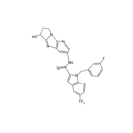 O=C(Nc1cnc2c(c1)nc1n2CCC1O)c1cc2cc(C(F)(F)F)ccc2n1Cc1cccc(F)c1